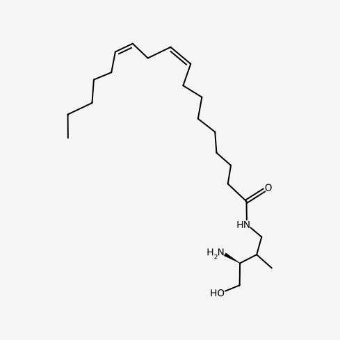 CCCCC/C=C\C/C=C\CCCCCCCC(=O)NCC(C)[C@H](N)CO